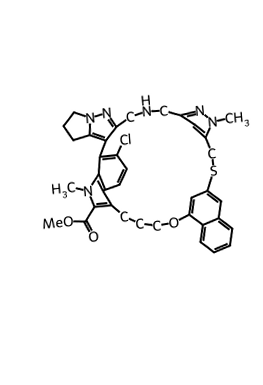 COC(=O)c1c2c3ccc(Cl)c(c3n1C)-c1c(nn3c1CCC3)CNCc1cc(n(C)n1)CSc1cc(c3ccccc3c1)OCCC2